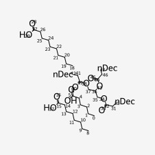 CCCCCC(=O)O.CCCCCCCC(=O)O.CCCCCCCCCC(=O)O.CCCCCCCCCCCC(=O)OCC(COC(=O)CCCCCCCCCCC)OC(=O)CCCCCCCCCCC